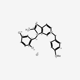 COc1ccc(C[n+]2ccc3nc(C)n(Cc4cc(Cl)ccc4Cl)c3c2)cc1.[Cl-]